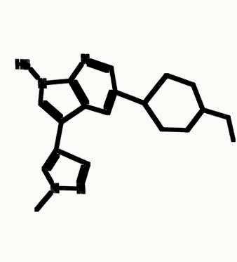 CCC1CCC(c2cnc3c(c2)c(-c2cnn(C)c2)cn3S)CC1